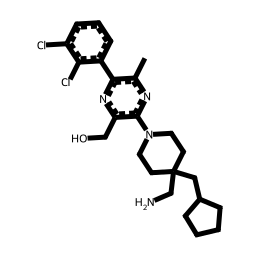 Cc1nc(N2CCC(CN)(CC3CCCC3)CC2)c(CO)nc1-c1cccc(Cl)c1Cl